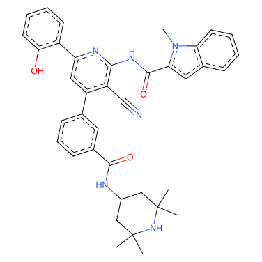 Cn1c(C(=O)Nc2nc(-c3ccccc3O)cc(-c3cccc(C(=O)NC4CC(C)(C)NC(C)(C)C4)c3)c2C#N)cc2ccccc21